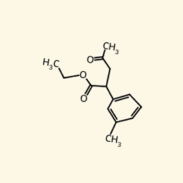 CCOC(=O)C(CC(C)=O)c1cccc(C)c1